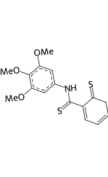 COc1cc(NC(=S)C2=CC=CCC2=S)cc(OC)c1OC